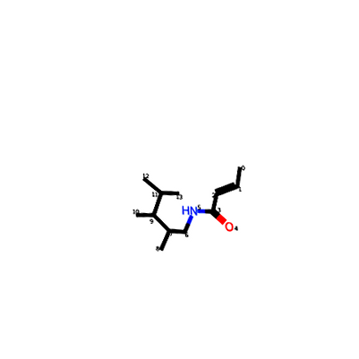 C/C=C/C(=O)NCC(C)C(C)C(C)C